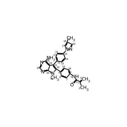 C=C(C)C(=O)Nc1ccc(-c2c(-c3ccc(-n4cc(C)cn4)cc3)c3c(N)ncnc3n2C)cc1